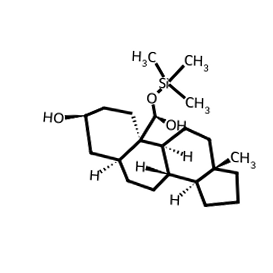 C[C@@]12CCC[C@H]1[C@@H]1CC[C@H]3C[C@@H](O)CC[C@]3([C@H](O)O[Si](C)(C)C)[C@H]1CC2